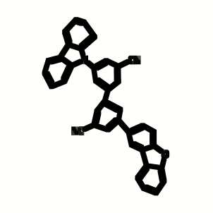 N#Cc1cc(-c2cc(C#N)cc(-n3c4ccccc4c4ccccc43)c2)cc(-c2ccc3oc4ccccc4c3c2)c1